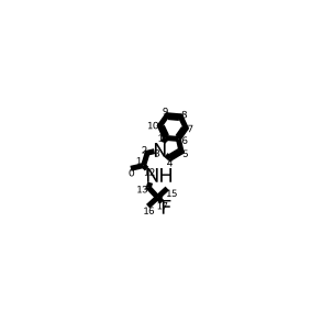 CC(Cn1ccc2ccccc21)NCC(C)(C)F